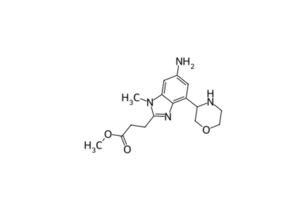 COC(=O)CCc1nc2c(C3COCCN3)cc(N)cc2n1C